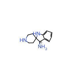 N[C@@H]1c2ccccc2NC12CCNCC2